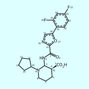 O=C(NC1[C@@H](C(=O)O)CCCN1C1CCCC1)c1ncc(-c2ccc(F)cc2F)o1